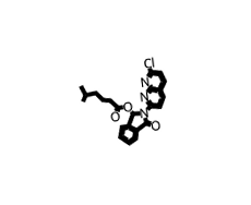 CC(C)CCCC(=O)OC1c2ccccc2C(=O)N1c1ccc2ccc(Cl)nc2n1